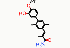 C/C(=C\c1cc(C)c(-c2ccc(OC(C)C)c(O)c2)cc1C)C(N)=O